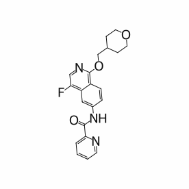 O=C(Nc1ccc2c(OCC3CCOCC3)ncc(F)c2c1)c1ccccn1